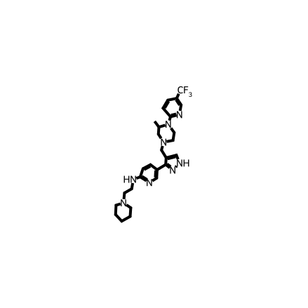 CC1CN(Cc2c[nH]nc2-c2ccc(NCCN3CCCCC3)nc2)CCN1c1ccc(C(F)(F)F)cn1